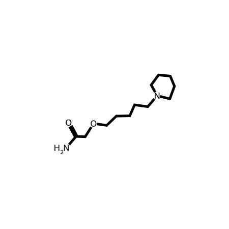 NC(=O)COCCCCCN1CCCCC1